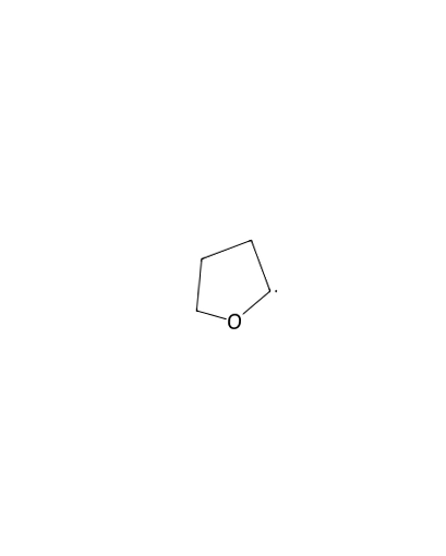 [CH]1CCCO1